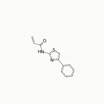 C=CC(=O)Nc1nc(-c2ccccc2)cs1